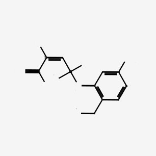 C=C(O)/C(Br)=C\C(C)(CC)Oc1cc(C(=O)OCC)ccc1CC(=O)OCC